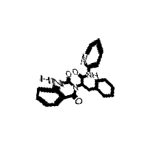 O=C(Nc1ccccn1)C(CC1CCCCC1)n1c(=O)[nH]c2ccccc2c1=O